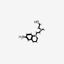 Bc1ccc2c(c1)CCCN2CCN(C)CCO